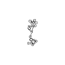 CCN1C(=O)C(C)(C)C(=O)N(C)c2cc(OCCCN(CCCNC(=O)C3ON(Cl)C(Cl)=C3Cl)Cc3ccncc3)ccc21